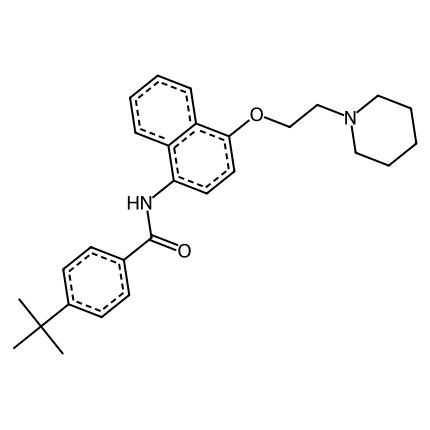 CC(C)(C)c1ccc(C(=O)Nc2ccc(OCCN3CCCCC3)c3ccccc23)cc1